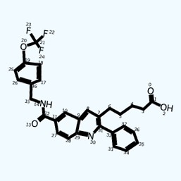 O=C(O)CCCCc1cc2cc(C(=O)NCc3ccc(OC(F)(F)F)cc3)ccc2nc1-c1ccccc1